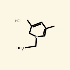 CC1=CN(CC(=O)O)CC(C)=C1.Cl